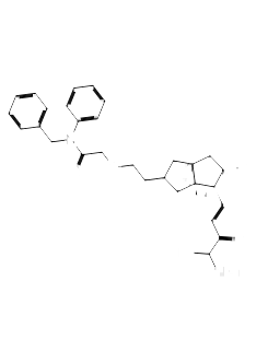 CCCCC(CC)C(=O)C=C[C@H]1[C@@H]2CC(CCOCC(=O)N(Cc3ccccc3)c3ccccc3)C[C@H]2C[C@@H]1O